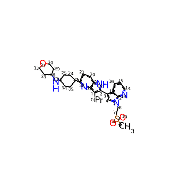 CC(C)c1c(-c2cn(CCS(C)(=O)=O)c3ncccc23)[nH]c2ccc(C3CCC(NC4CCOCC4)CC3)nc12